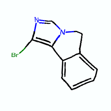 Brc1ncn2c1-c1ccccc1C2